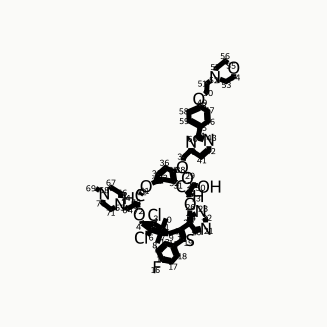 Cc1c(Cl)c2c(Cl)c(C)c1-c1c(-c3ccc(F)cc3)sc3ncnc(c13)O[C@@H](C(=O)O)Cc1cc(ccc1OCc1ccnc(-c3ccc(OCCN4CCOCC4)cc3)n1)OC[C@@H](CN1CCN(C)CC1)O2